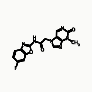 Cn1c(=O)ncc2c1ncn2CC(=O)Nc1nc2ccc(F)cc2o1